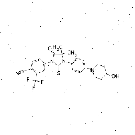 CC1(C)C(=O)N(c2ccc(C#N)c(C(F)(F)F)c2)C(=S)N1c1ccc(N2CCC(O)CC2)cc1